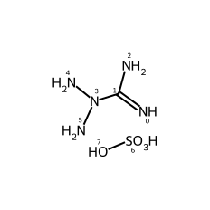 N=C(N)N(N)N.O=S(=O)(O)O